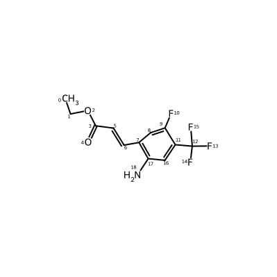 CCOC(=O)C=Cc1cc(F)c(C(F)(F)F)cc1N